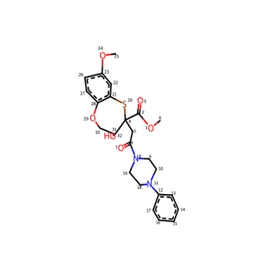 COC(=O)C1(CC(=O)N2CCN(c3ccccc3)CC2)Sc2cc(OC)ccc2OCC1O